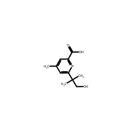 Cc1cc(C(=O)O)nc(C(C)(C)CO)c1